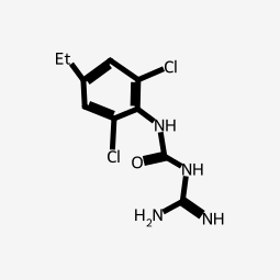 CCc1cc(Cl)c(NC(=O)NC(=N)N)c(Cl)c1